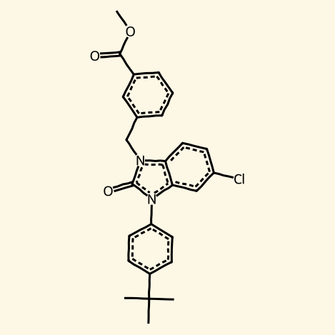 COC(=O)c1cccc(Cn2c(=O)n(-c3ccc(C(C)(C)C)cc3)c3cc(Cl)ccc32)c1